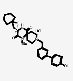 CCCCN1C(=O)[C@@H](CC2(O)CCCCC2)NC(=O)C12CCN(Cc1cccc(-c3ccc(O)cc3)c1)CC2.Cl